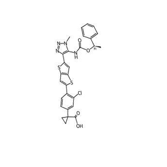 C[C@@H](OC(=O)Nc1c(-c2cc3sc(-c4ccc(C5(C(=O)O)CC5)cc4Cl)cc3s2)nnn1C)c1ccccc1